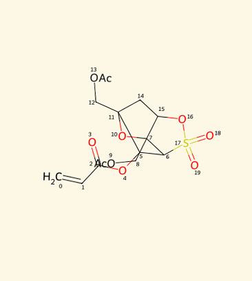 C=CC(=O)OC1C2C3(COC(C)=O)OC1(COC(C)=O)CC3OS2(=O)=O